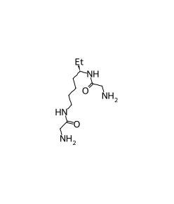 CC[C@H](CCCCNC(=O)CN)NC(=O)CN